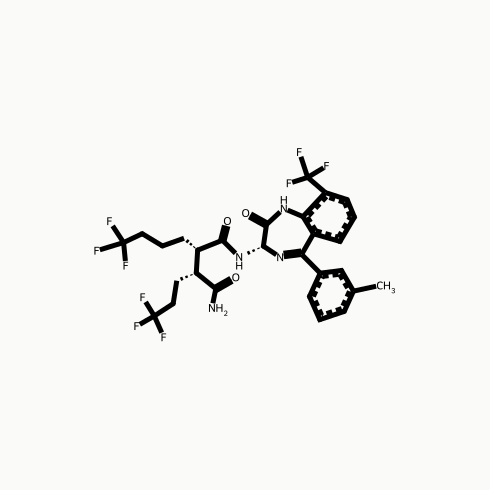 Cc1cccc(C2=N[C@H](NC(=O)[C@@H](CCCC(F)(F)F)[C@@H](CCC(F)(F)F)C(N)=O)C(=O)Nc3c2cccc3C(F)(F)F)c1